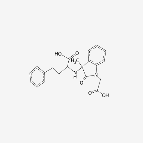 CC1(NC(CCc2ccccc2)C(=O)O)C(=O)N(CC(=O)O)c2ccccc21